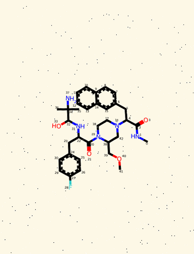 CNC(=O)C(Cc1ccc2ccccc2c1)N1CCN(C(=O)C(Cc2ccc(F)cc2)NC(O)C(C)(C)N)C(COC)C1